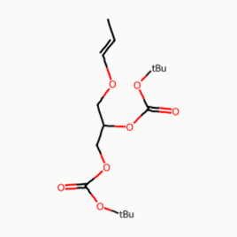 CC=COCC(COC(=O)OC(C)(C)C)OC(=O)OC(C)(C)C